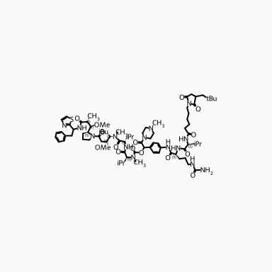 CC[C@H](C)[C@@H]([C@@H](CC(=O)N1CCC[C@H]1[C@H](OC)[C@@H](C)C(=O)NC(Cc1ccccc1)c1nccs1)OC)N(C)C(=O)[C@@H](NC(=O)[C@H](C(C)C)N(C)C(=O)OC(C(=O)N1CCN(C)CC1)c1ccc(NC(=O)[C@H](CCCNC(N)=O)NC(=O)[C@@H](NC(=O)CCCCCN2C(=O)CC(CC(C)(C)C)C2=O)C(C)C)cc1)C(C)C